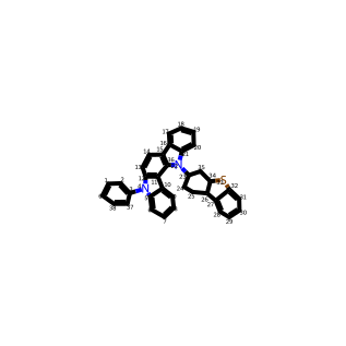 c1ccc(-n2c3ccccc3c3c2ccc2c4ccccc4n(C4CCC5c6ccccc6SC5C4)c23)cc1